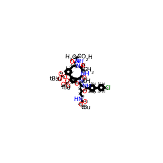 C[C@H](NC(=O)[C@@H]1Cc2ccc(OC(=O)OC(C)(C)C)c(c2)-c2cc(ccc2OC(=O)OC(C)(C)C)[C@H](N(C)C(=O)[C@H](CCCCNC(=O)OC(C)(C)C)NC(=O)c2ccc(-c3ccc(Cl)cc3)cc2)C(=O)N[C@@H](C)C(=O)N1)C(=O)O